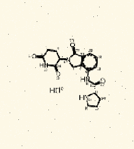 Cl.O=C1CCC(N2Cc3c(NC(=O)[C@@H]4CCCN4)cccc3C2=O)C(=O)N1